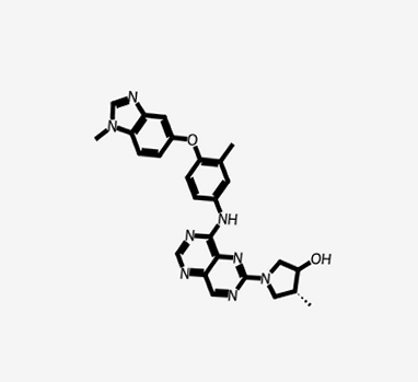 Cc1cc(Nc2ncnc3cnc(N4CC(O)[C@H](C)C4)nc23)ccc1Oc1ccc2c(c1)ncn2C